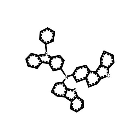 c1ccc(-n2c3ccccc3c3cc(N(c4ccc5c(ccc6oc7ccccc7c65)c4)c4cccc5c4sc4ccccc45)ccc32)cc1